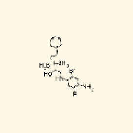 BC(B)(OCc1ccccc1)C(O)CNc1cc(F)c(N)cc1Br